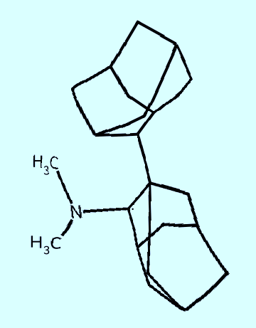 CN(C)[C]1C2CC3CC(C2)CC1(C1C2CC4CC(C2)CC1C4)C3